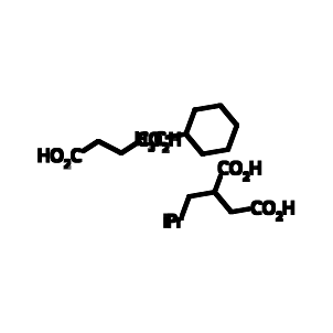 CC(C)CC(CC(=O)O)C(=O)O.CC1CCCCC1.O=C(O)CCC(=O)O